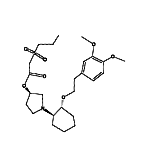 CCCS(=O)(=O)CC(=O)O[C@@H]1CCN([C@@H]2CCCC[C@H]2OCCc2ccc(OC)c(OC)c2)C1